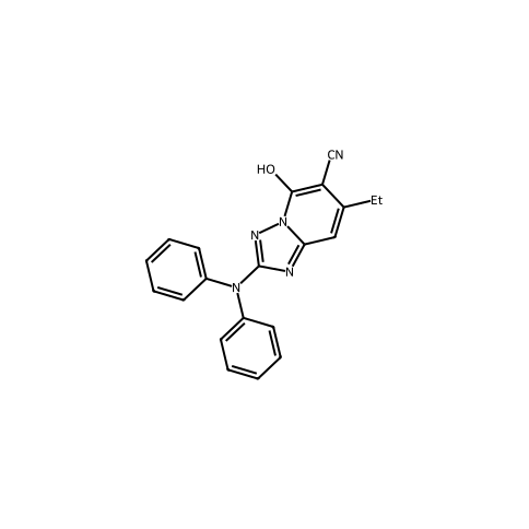 CCc1cc2nc(N(c3ccccc3)c3ccccc3)nn2c(O)c1C#N